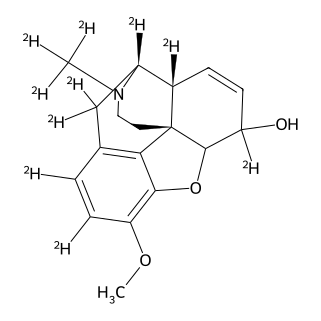 [2H]c1c([2H])c2c3c(c1OC)OC1C([2H])(O)C=C[C@]4([2H])[C@@]31CCN(C([2H])([2H])[2H])[C@]4([2H])C2([2H])[2H]